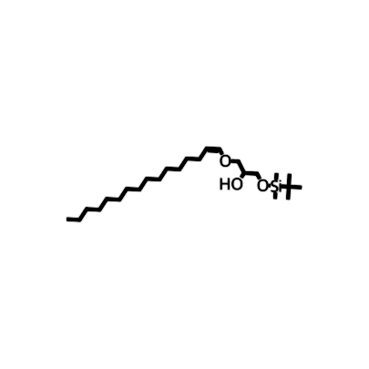 CCCCCCCCCCCCCC/C=C\OCC(O)CO[Si](C)(C)C(C)(C)C